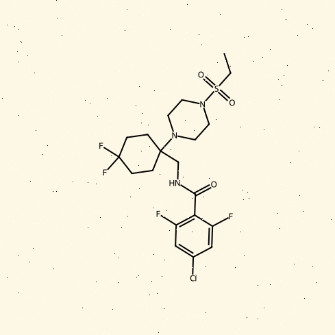 CCS(=O)(=O)N1CCN(C2(CNC(=O)c3c(F)cc(Cl)cc3F)CCC(F)(F)CC2)CC1